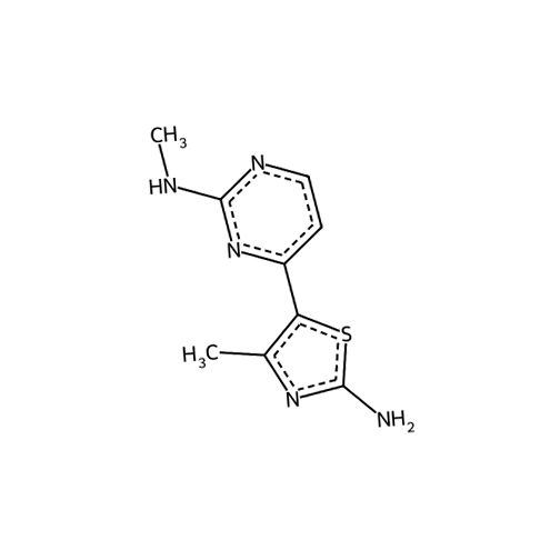 CNc1nccc(-c2sc(N)nc2C)n1